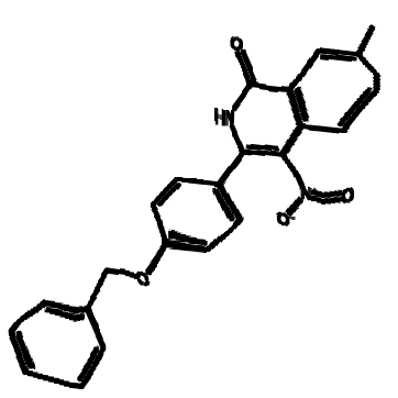 Cc1ccc2c([N+](=O)[O-])c(-c3ccc(OCc4ccccc4)cc3)[nH]c(=O)c2c1